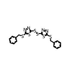 c1ccc(CSc2nnc(SSc3nnc(SCc4ccccc4)s3)s2)cc1